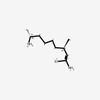 CC/C(N)=C\[C@H](C)CCCC[C@@H](C)N